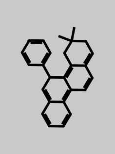 CC1(C)CC=c2ccc3c(c2C1)C(c1cc[c]cc1)C=c1ccccc1=3